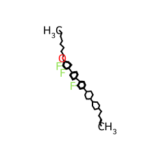 C/C=C/CCC1CCC(C2CCC(c3ccc(-c4ccc(-c5ccc(OCCCCCCCC)c(F)c5F)cc4)c(F)c3)CC2)CC1